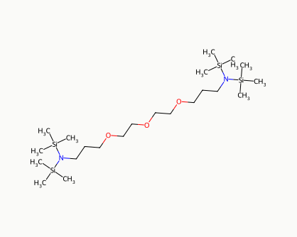 C[Si](C)(C)N(CCCOCCOCCOCCCN([Si](C)(C)C)[Si](C)(C)C)[Si](C)(C)C